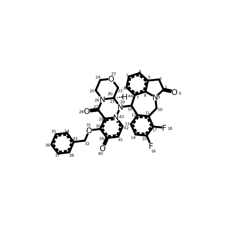 O=C1Cc2cccc3c2N1Cc1c(ccc(F)c1F)C3N1[C@@H]2COCCN2C(=O)c2c(OCc3ccccc3)c(=O)ccn21